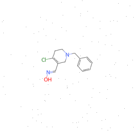 ON=CC1=C(Cl)CCN(Cc2ccccc2)C1